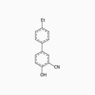 CCc1ccc(-c2ccc(O)c(C#N)c2)cc1